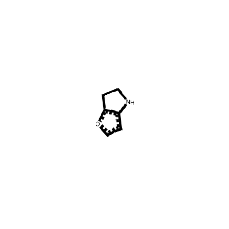 [c]1cc2c(o1)CCN2